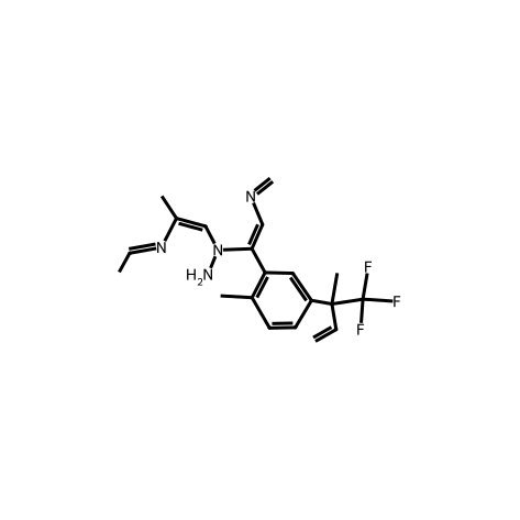 C=CC(C)(c1ccc(C)c(/C(=C/N=C)N(N)/C=C(C)\N=C\C)c1)C(F)(F)F